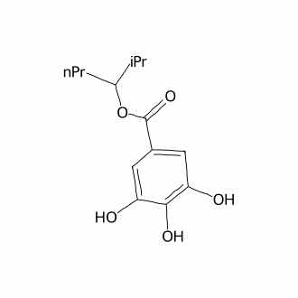 CCCC(OC(=O)c1cc(O)c(O)c(O)c1)C(C)C